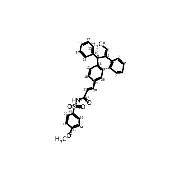 CC=C(c1ccccc1)C(c1ccccc1)c1ccc(C=CC(=O)NS(=O)(=O)c2ccc(OC)cc2)cc1